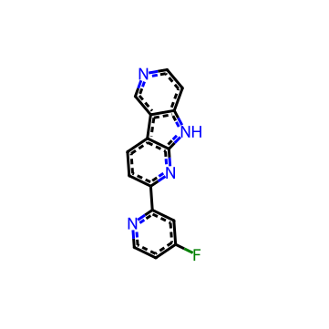 Fc1ccnc(-c2ccc3c(n2)[nH]c2ccncc23)c1